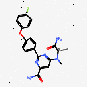 C[C@@H](C(N)=O)N(C)c1cc(C(N)=O)nc(-c2ccc(Oc3ccc(F)cc3)cc2)n1